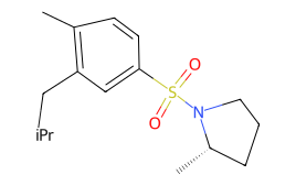 Cc1ccc(S(=O)(=O)N2CCC[C@@H]2C)cc1CC(C)C